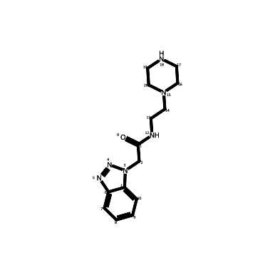 O=C(Cn1nnc2ccccc21)NCCN1CCNCC1